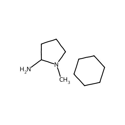 C1CCCCC1.CN1CCCC1N